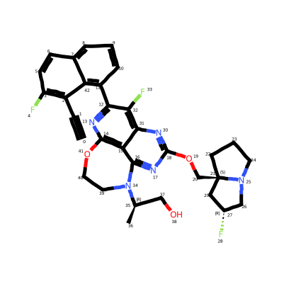 C#Cc1c(F)ccc2cccc(-c3nc4c5c(nc(OC[C@@]67CCCN6C[C@H](F)C7)nc5c3F)N([C@H](C)CO)CCO4)c12